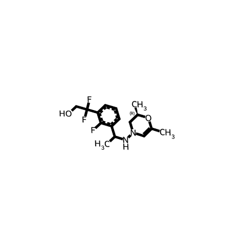 CC1=CN(NC(C)c2cccc(C(F)(F)CO)c2F)C[C@@H](C)O1